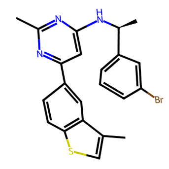 Cc1nc(N[C@@H](C)c2cccc(Br)c2)cc(-c2ccc3scc(C)c3c2)n1